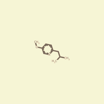 COc1ccc(CC(C)C)nc1